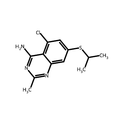 Cc1nc(N)c2c(Cl)cc(SC(C)C)cc2n1